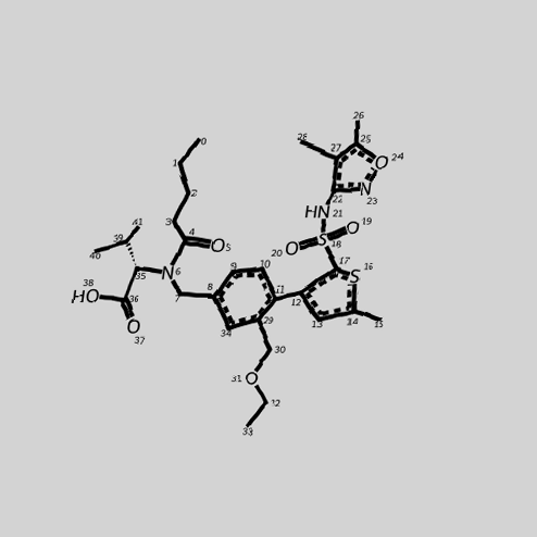 CCCCC(=O)N(Cc1ccc(-c2cc(C)sc2S(=O)(=O)Nc2noc(C)c2C)c(COCC)c1)[C@H](C(=O)O)C(C)C